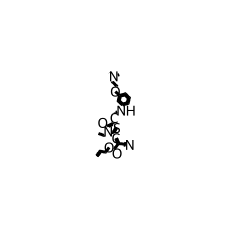 C=CCOC(=O)C(=C=c1sc(=C=CNc2cccc(OCCN(C)C)c2)c(=O)n1CC)C#N